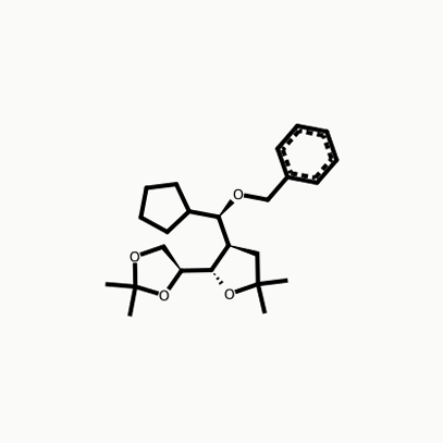 CC1(C)C[C@H]([C@H](OCc2ccccc2)C2CCCC2)[C@@H]([C@@H]2COC(C)(C)O2)O1